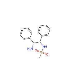 CS(=O)(=O)NC(c1ccccc1)[C@H](N)c1ccccc1